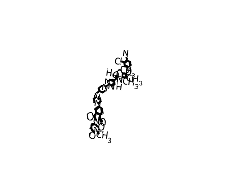 CN1C(=O)CCC(N2C(=O)c3ccc(N4CCN(CC5CCN(c6ncc(C(=O)N[C@H]7C(C)(C)[C@H](Oc8ccc(C#N)c(Cl)c8)C7(C)C)cn6)CC5)CC4)cc3C2=O)C1=O